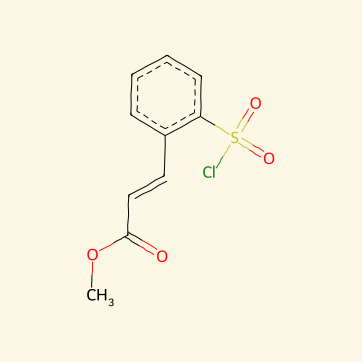 COC(=O)C=Cc1ccccc1S(=O)(=O)Cl